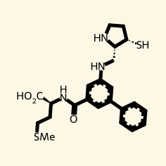 CSCC[C@H](NC(=O)c1cc(NC[C@@H]2NCC[C@@H]2S)cc(-c2ccccc2)c1)C(=O)O